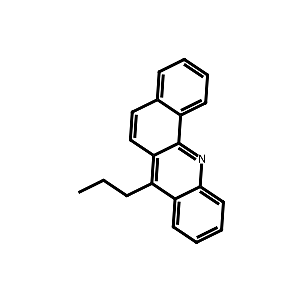 CCCc1c2ccccc2nc2c1ccc1ccccc12